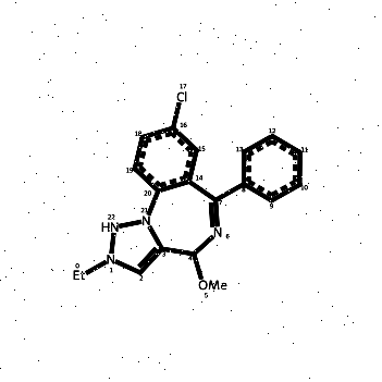 CCN1C=C2C(OC)N=C(c3ccccc3)c3cc(Cl)ccc3N2N1